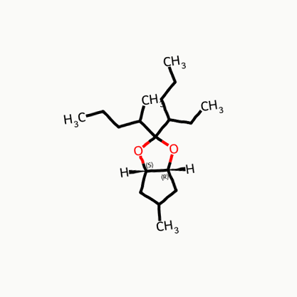 CCCC(C)C1(C(CC)CCC)O[C@H]2CC(C)C[C@H]2O1